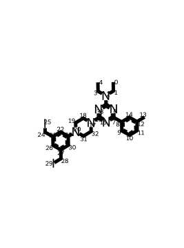 CCN(CC)c1nc(-c2cccc(C)c2)nc(N2CCN(c3cc(CI)cc(CI)c3)CC2)n1